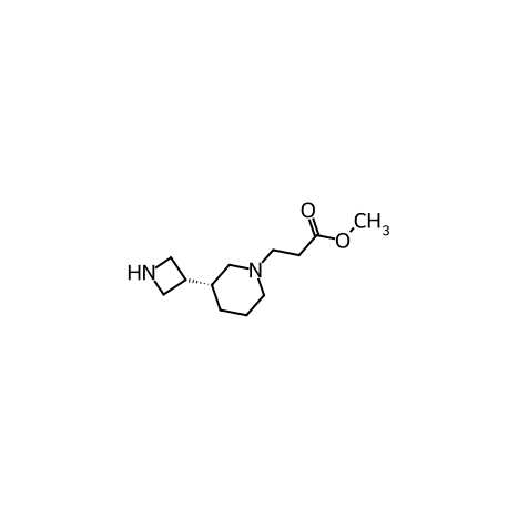 COC(=O)CCN1CCC[C@H](C2CNC2)C1